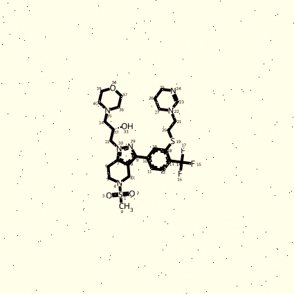 CS(=O)(=O)N1CCc2c(c(-c3ccc(C(F)(F)F)c(SCCN4C=NCCC4)c3)nn2C[C@@H](O)CN2CCOCC2)C1